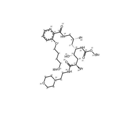 COCCCCOc1cccnc1C(=O)NC[C@@H](C[C@H](NC(=O)OC(C)(C)C)[C@@H](O)C[C@H](C(=O)NCCN1CCOCC1)C(C)C)C(C)C